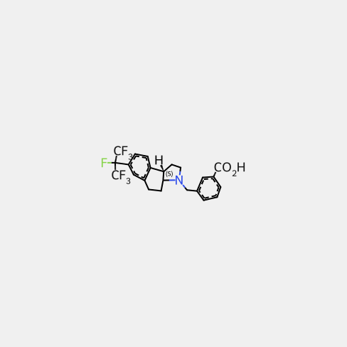 O=C(O)c1cccc(CN2CC[C@H]3c4ccc(C(F)(C(F)(F)F)C(F)(F)F)cc4CCC32)c1